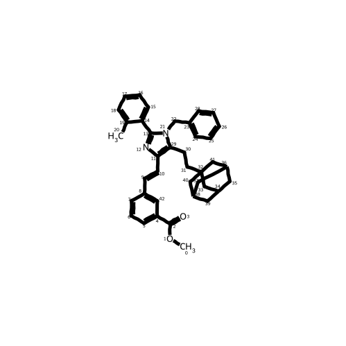 COC(=O)c1cccc(/C=C/c2nc(-c3ccccc3C)n(Cc3ccccc3)c2CCC23CC4CC(CC(C4)C2)C3)c1